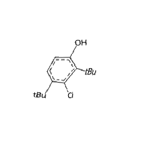 CC(C)(C)c1ccc(O)c(C(C)(C)C)c1Cl